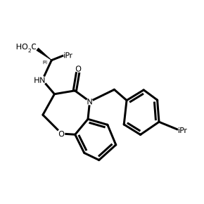 CC(C)c1ccc(CN2C(=O)C(N[C@@H](C(=O)O)C(C)C)COc3ccccc32)cc1